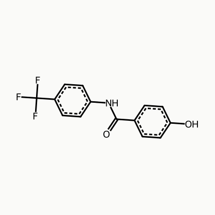 O=C(Nc1ccc(C(F)(F)F)cc1)c1ccc(O)cc1